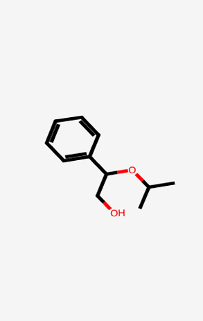 CC(C)OC(CO)c1ccccc1